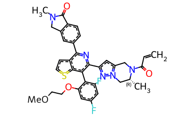 C=CC(=O)N1Cc2cc(-c3nc(-c4ccc5c(c4)CN(C)C5=O)c4ccsc4c3-c3c(F)cc(F)cc3OCCOC)nn2C[C@H]1C